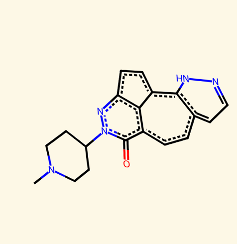 CN1CCC(n2nc3ccc4c5c(ccc(c3-4)c2=O)=CC=NN5)CC1